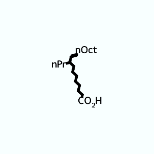 CCCCCCCCC=CC(CCC)CCCCCCCC(=O)O